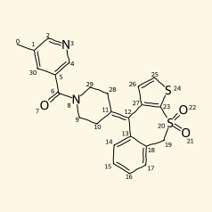 Cc1cncc(C(=O)N2CCC(=C3c4ccccc4CS(=O)(=O)c4sccc43)CC2)c1